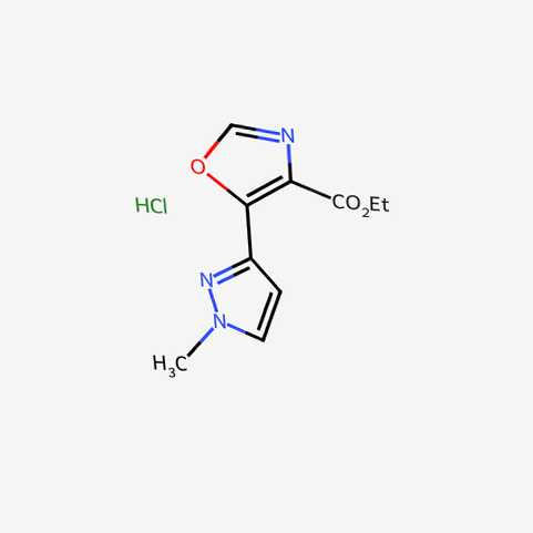 CCOC(=O)c1ncoc1-c1ccn(C)n1.Cl